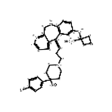 O=NC1(c2ccc(Cl)cc2)CCN(CCC=C2c3cc(OC4(C(=O)O)CCC4)ccc3OCc3ncccc32)CC1